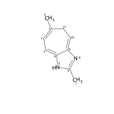 CC1=CC=c2[nH]c(C)nc2=CC1